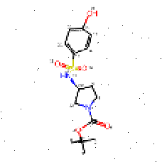 CC(C)(C)OC(=O)N1CC[C@H](NS(=O)(=O)c2ccc(O)cc2)C1